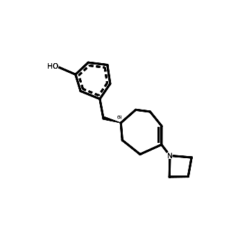 Oc1cccc(C[C@H]2CCC=C(N3CCC3)CC2)c1